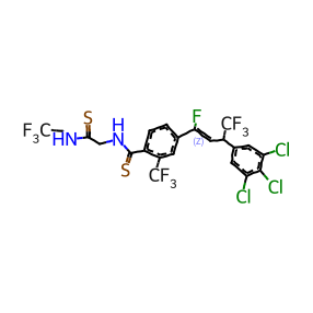 F/C(=C\C(c1cc(Cl)c(Cl)c(Cl)c1)C(F)(F)F)c1ccc(C(=S)NCC(=S)NCC(F)(F)F)c(C(F)(F)F)c1